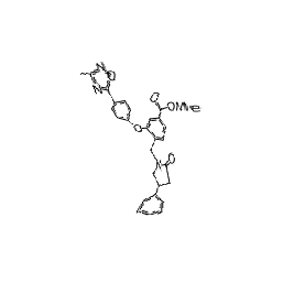 COC(=O)c1ccc(CN2CC(c3ccccc3)CC2=O)c(Oc2ccc(-c3nc(C)no3)cc2)c1